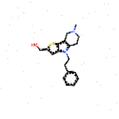 CN1CCc2c(c3sc(CO)cc3n2CCc2ccccc2)C1